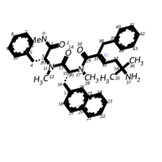 CNC(=O)[C@@H](Cc1ccccc1)N(C)C(=O)[C@@H](Cc1ccc2ccccc2c1)N(C)C(=O)/C(=C/CC(C)(C)N)Cc1ccccc1